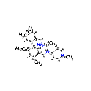 C=C(NCC(/C=C\C)=C/C)N(Cc1ccc(OC)cc1C)C1CCN(C)CC1